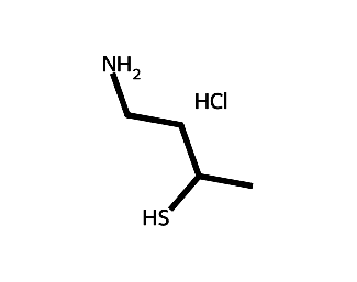 CC(S)CCN.Cl